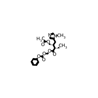 CC[C@H](C(=O)OCOC(=O)Oc1ccccc1)[C@H](COC(C)=O)Cc1cncn1C